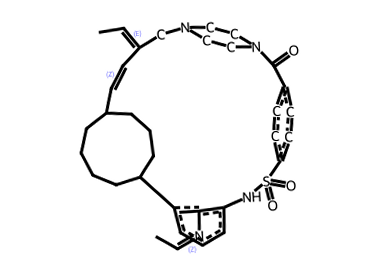 C/C=N\c1c2cccc1C1CCCCC(/C=C\C(=C/C)CN3CCN(CC3)C(=O)c3ccc(cc3)S(=O)(=O)N2)CCC1